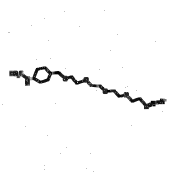 [N-]=[N+]=NCCOCCOCCOCCOC[C@H]1CC[C@H](NC(=O)O)CC1